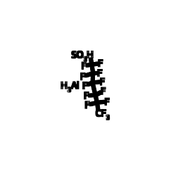 O=S(=O)(O)C(F)(F)C(F)(F)C(F)(F)C(F)(F)C(F)(F)C(F)(F)F.[AlH3]